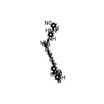 N#Cc1ccc2ncnc(Nc3ccc(NCCNS(=O)(=O)CCOCCOCCOCCOc4ccc5c(c4)C(=O)N(C4CCC(=O)NC4=O)C5=O)cc3)c2c1